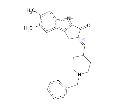 Cc1cc2[nH]c3c(c2cc1C)C/C(=C\C1CCN(Cc2ccccc2)CC1)C3=O